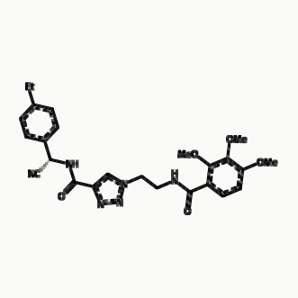 CCc1ccc([C@@H](C#N)NC(=O)c2cn(CCNC(=O)c3ccc(OC)c(OC)c3OC)nn2)cc1